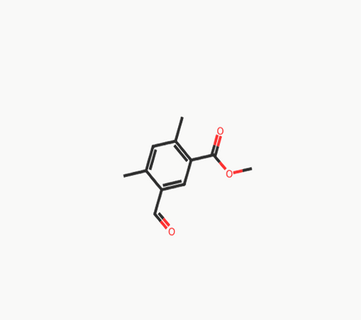 COC(=O)c1cc(C=O)c(C)cc1C